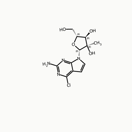 C[C@@]1(O)[C@H](O)[C@@H](CO)O[C@H]1n1ccc2c(Cl)nc(N)nc21